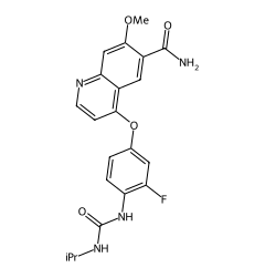 COc1cc2nccc(Oc3ccc(NC(=O)NC(C)C)c(F)c3)c2cc1C(N)=O